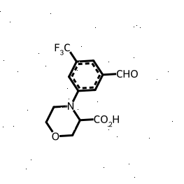 O=Cc1cc(N2CCOCC2C(=O)O)cc(C(F)(F)F)c1